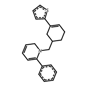 C1=CCN(CC2CCC=C(c3cccs3)C2)C(c2ccccc2)=C1